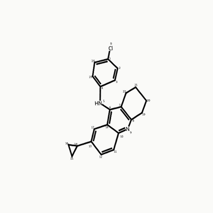 Clc1ccc(Nc2c3c(nc4ccc(C5CC5)cc24)CCCC3)cc1